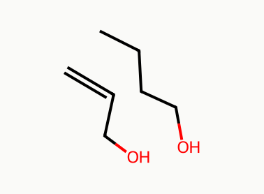 C=CCO.CCCCO